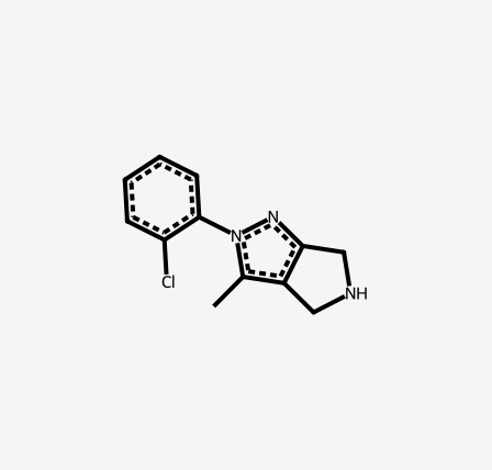 Cc1c2c(nn1-c1ccccc1Cl)CNC2